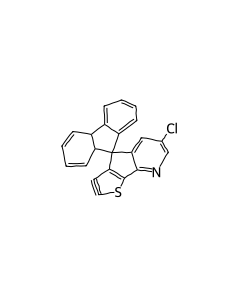 Clc1cnc2c(c1)C1(c3c#csc3-2)c2ccccc2C2C=CC=CC21